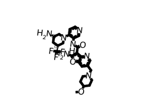 COC1CCN(Cc2cnc3c(C(=O)Nc4cnccc4N4C[C@H](N)C[C@H](C(F)(F)F)C4)c(N)oc3c2)CC1